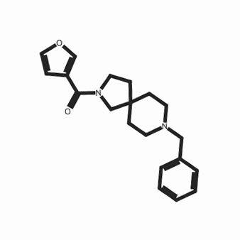 O=C(c1ccoc1)N1CCC2(CCN(Cc3ccccc3)CC2)C1